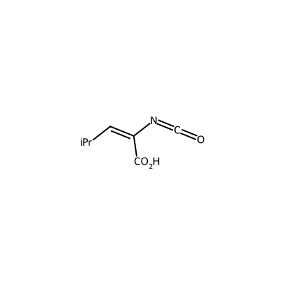 CC(C)/C=C(/N=C=O)C(=O)O